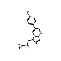 O=C(Cn1ncc2ncc(-c3ccc(F)cc3)cc21)C1CC1